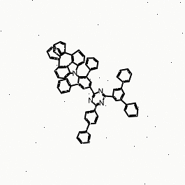 c1ccc(-c2ccc(-c3nc(-c4cc(-c5ccccc5)cc(-c5ccccc5)c4)nc(-c4cc(-c5ccccc5)c(-n5c6cccc(-c7ccccc7)c6c6c(-c7ccccc7)cccc65)c(-c5ccccc5)c4)n3)cc2)cc1